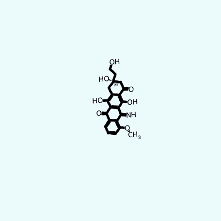 COc1cccc2c1C(=N)c1c(O)c3c(c(O)c1C2=O)C[C@@](O)(CCO)CC3=O